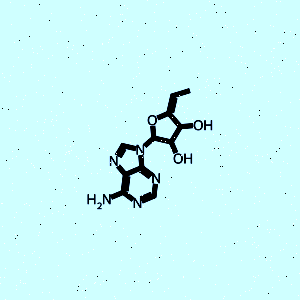 CC=C1OC(n2cnc3c(N)ncnc32)C(O)C1O